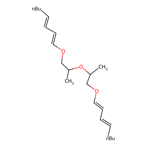 CCCCC=CC=COCC(C)OC(C)COC=CC=CCCCC